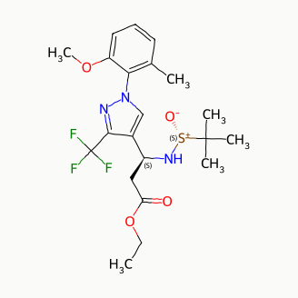 CCOC(=O)C[C@H](N[S@+]([O-])C(C)(C)C)c1cn(-c2c(C)cccc2OC)nc1C(F)(F)F